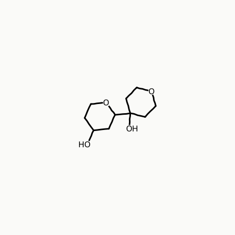 OC1CCOC(C2(O)CCOCC2)C1